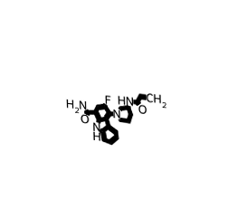 C=CC(=O)NC1CCCN(c2c(F)cc(C(N)=O)c3[nH]c4ccccc4c23)C1